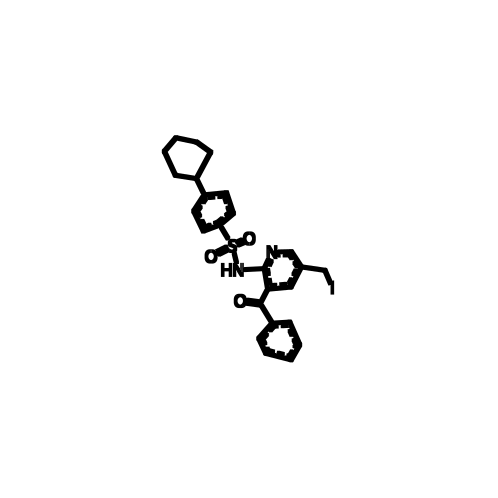 O=C(c1ccccc1)c1cc(CI)cnc1NS(=O)(=O)c1ccc(C2CCCCC2)cc1